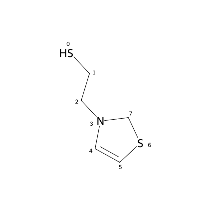 SCCN1C=CSC1